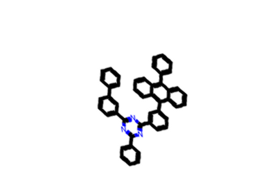 c1ccc(-c2cccc(-c3nc(-c4ccccc4)nc(-c4cccc(-c5c6ccccc6c(-c6ccccc6)c6ccccc56)c4)n3)c2)cc1